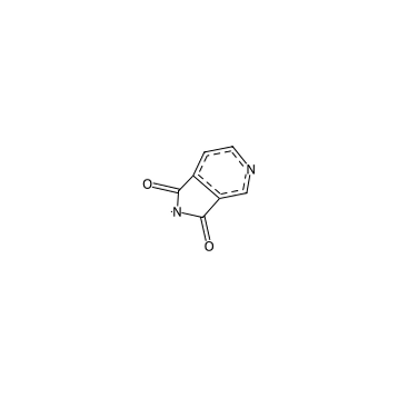 O=C1[N]C(=O)c2cnccc21